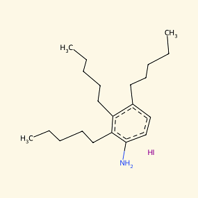 CCCCCc1ccc(N)c(CCCCC)c1CCCCC.I